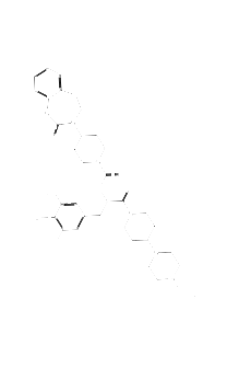 Cc1cc(CC(OC(=O)N2CCC(N3CCc4ccccc4NC3=O)CC2)C(=O)N2CCC(N3CCN(C)CC3)CC2)cc(C)c1Br